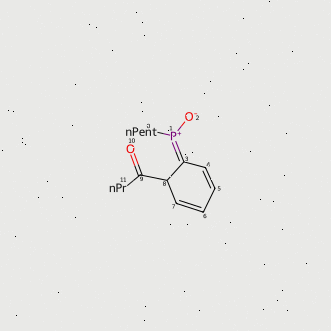 CCCCC/[P+]([O-])=C1/C=CC=CC1C(=O)CCC